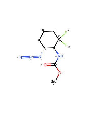 CC(C)(C)OC(=O)N[C@H]1[C@H](N=[N+]=[N-])CCCC1(F)F